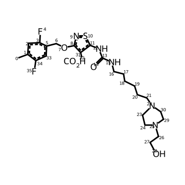 Cc1cc(F)c(COc2nsc(NC(=O)NCCCCCCN3CCN(CCO)CC3)c2C(=O)O)cc1F